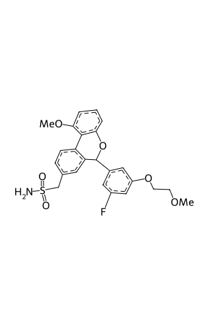 COCCOc1cc(F)cc(C2Oc3cccc(OC)c3-c3ccc(CS(N)(=O)=O)cc32)c1